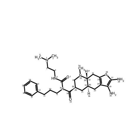 CN(C)CCNC(=O)N(CCCc1ccccc1)C(=O)[C@@H]1C[C@@H]2Cc3c(sc(N)c3N)C[C@H]2N(C)C1